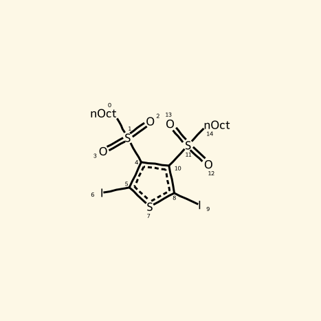 CCCCCCCCS(=O)(=O)c1c(I)sc(I)c1S(=O)(=O)CCCCCCCC